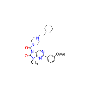 COc1cccc(-c2ncc3c(n2)n(C)c(=O)n3C(=O)N2CCN(CCC3CCCCC3)CC2)c1